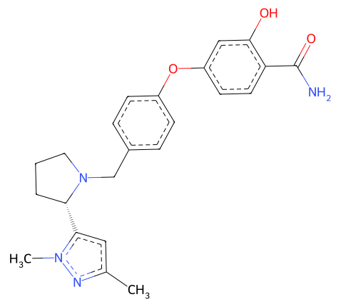 Cc1cc([C@@H]2CCCN2Cc2ccc(Oc3ccc(C(N)=O)c(O)c3)cc2)n(C)n1